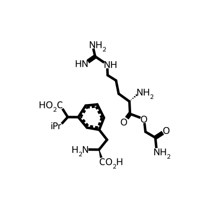 CC(C)C(C(=O)O)c1cccc(C[C@H](N)C(=O)O)c1.N=C(N)NCCC[C@H](N)C(=O)OCC(N)=O